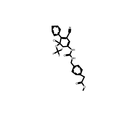 COC(=O)Cc1ccc(CNC(=O)NC2=CC(C#N)=C(c3ccccc3)C(Cl)(OC(F)(F)F)C2)cc1